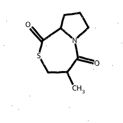 CC1CSC(=O)C2CCCN2C1=O